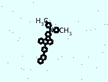 Cc1ccc(N(C2=CC3=C(CC2)c2c4ccccc4c(-c4ccc(-c5ccc6ccccc6c5)cc4)c4cccc3c24)c2ccc(C)cc2)cc1